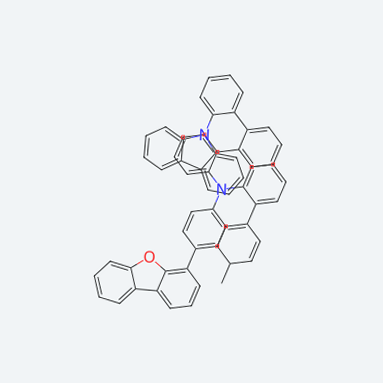 CC1C=CC(c2ccccc2N(c2ccc(-c3cccc4c3oc3ccccc34)cc2)c2ccccc2-c2ccccc2-c2ccccc2-n2c3ccccc3c3ccccc32)=CC1